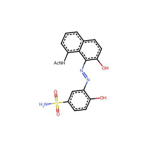 CC(=O)Nc1cccc2ccc(O)c(N=Nc3cc(S(N)(=O)=O)ccc3O)c12